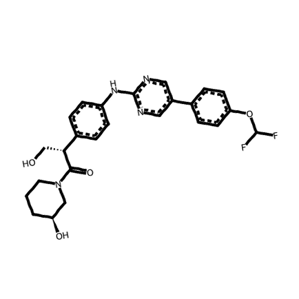 O=C([C@H](CO)c1ccc(Nc2ncc(-c3ccc(OC(F)F)cc3)cn2)cc1)N1CCC[C@H](O)C1